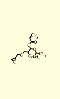 C=CC(=O)OC(OC(C)C)C(O)COCC1CO1